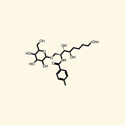 CCCCCCCCCCCCCC[C@@H](O)[C@@H](O)[C@H](COC1OC(CO)C(O)C(O)C1O)NC(=O)c1ccc(C)cc1